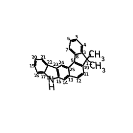 CC1(C)c2ccccc2-c2c1ccc1cc3[nH]c4ccccc4c3cc21